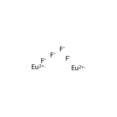 [Eu+2].[Eu+2].[F-].[F-].[F-].[F-]